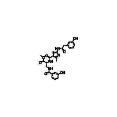 COC(=O)[C@H](CNC(=O)c1cccc(O)c1)NC(=O)c1sc(NC(=O)Cc2cccc(O)c2)nc1C